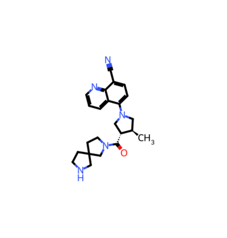 C[C@@H]1CN(c2ccc(C#N)c3ncccc23)C[C@H]1C(=O)N1CCC2(CCNC2)C1